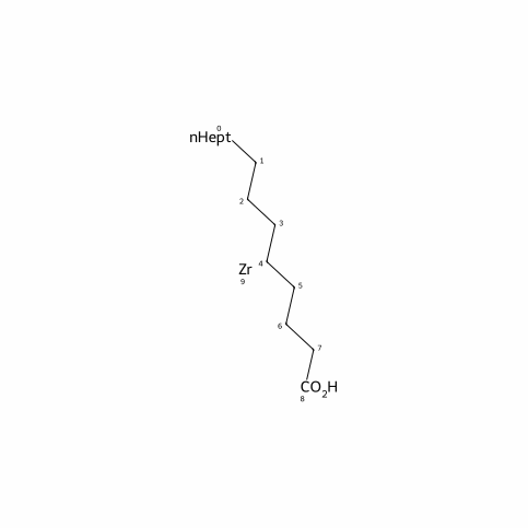 CCCCCCCCCCCCCCC(=O)O.[Zr]